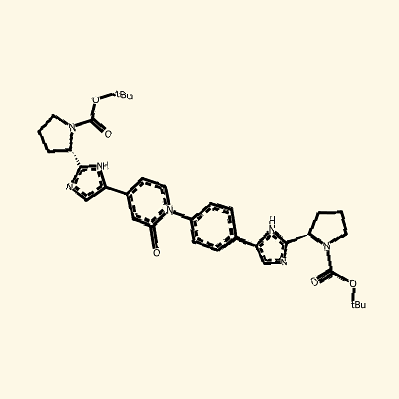 CC(C)(C)OC(=O)N1CCC[C@@H]1c1ncc(-c2ccc(-n3ccc(-c4cnc([C@@H]5CCCN5C(=O)OC(C)(C)C)[nH]4)cc3=O)cc2)[nH]1